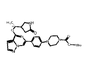 C[C@@H](Oc1nc(-c2ccc(N3CCN(C(=O)OC(C)(C)C)CC3)cc2)cn2nccc12)C1CNC(=O)C1